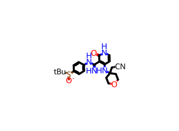 CC(C)(C)[S+]([O-])c1ccc(NC(=N)c2c(NC3(CC#N)CCOCC3)cc[nH]c2=O)cc1